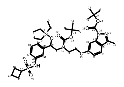 CC[Si](CC)(CC)OC(CN(CCOc1ccc2c(C)nn(C(=O)OC(C)(C)C)c2c1)C(=O)OC(C)(C)C)c1cccc(NS(=O)(=O)C2CCC2)c1